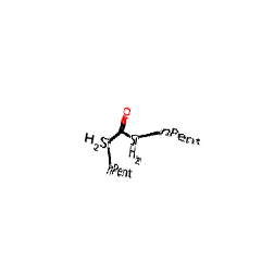 CCCCC[SiH2]C(=O)[SiH2]CCCCC